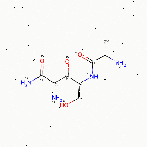 C[C@H](N)C(=O)N[C@@H](CO)C(=O)C(N)C(N)=O